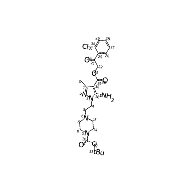 Cc1nn(CCN2CCN(C(=O)OC(C)(C)C)CC2)c(N)c1C(=O)OCC(=O)c1ccccc1Cl